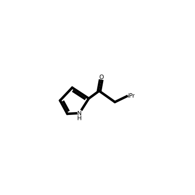 CC(C)CC(=O)c1ccc[nH]1